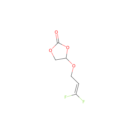 O=C1OCC(OCC=C(F)F)O1